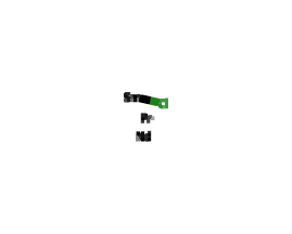 [Cl][Sm].[Nd].[Pr]